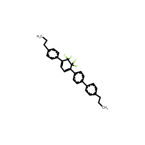 CCCc1ccc(C2=CC=C(c3ccc(-c4ccc(CCC)cc4)cc3)C(F)(F)C2(F)F)cc1